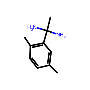 Cc1ccc(C)c(C(C)(N)N)c1